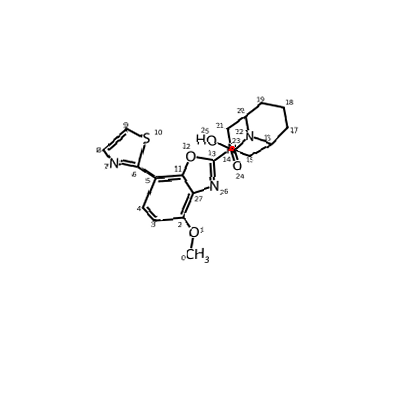 COc1ccc(-c2nccs2)c2oc(N3CC4CCCC(C3)N4C(=O)O)nc12